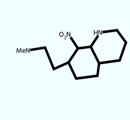 CNCCC1CCC2CCCNC2C1[N+](=O)[O-]